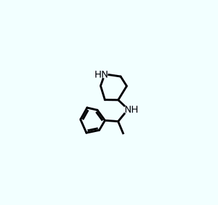 CC(NC1CCNCC1)c1ccccc1